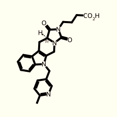 Cc1ccc(Cn2c3c(c4ccccc42)C[C@H]2C(=O)N(CCCC(=O)O)C(=O)N2C3)cn1